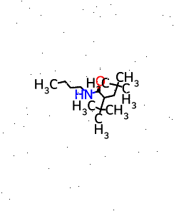 CCCCNC(=O)C(CC(C)(C)C)C(C)(C)C